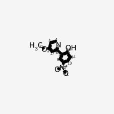 COc1ccnc(-c2cc([N+](=O)[O-])ccc2O)c1